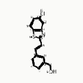 OCc1cccc(/C=C/c2nc3cc(Cl)ccc3s2)c1